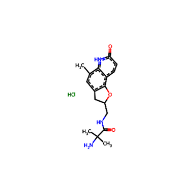 Cc1cc2c(c3ccc(=O)[nH]c13)OC(CNC(=O)C(C)(C)N)C2.Cl